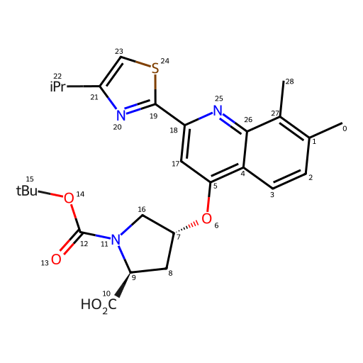 Cc1ccc2c(O[C@@H]3C[C@@H](C(=O)O)N(C(=O)OC(C)(C)C)C3)cc(-c3nc(C(C)C)cs3)nc2c1C